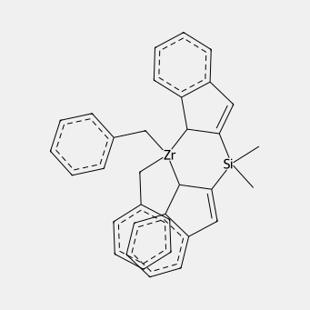 C[Si]1(C)C2=Cc3ccccc3[CH]2[Zr]([CH2]c2ccccc2)([CH2]c2ccccc2)[CH]2C1=Cc1ccccc12